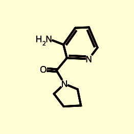 Nc1cccnc1C(=O)N1CCCC1